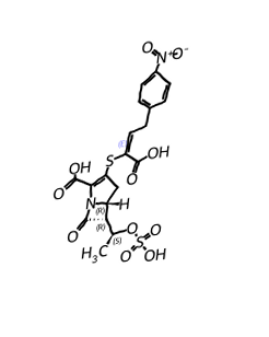 C[C@H](OS(=O)(=O)O)[C@@H]1C(=O)N2C(C(=O)O)=C(S/C(=C/Cc3ccc([N+](=O)[O-])cc3)C(=O)O)C[C@H]12